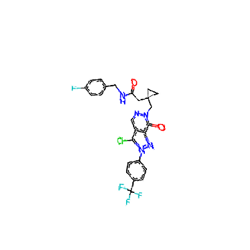 O=C(CC1(Cn2ncc3c(Cl)n(-c4ccc(C(F)(F)F)cc4)nc3c2=O)CC1)NCc1ccc(F)cc1